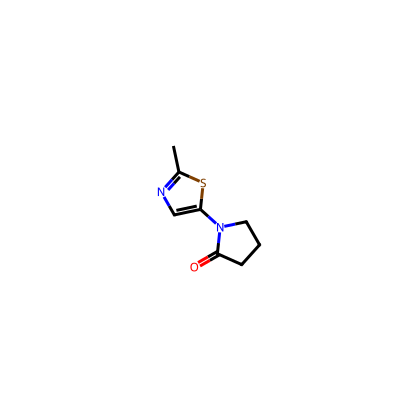 Cc1ncc(N2CCCC2=O)s1